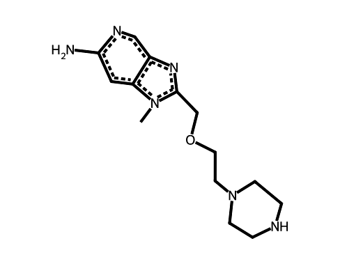 Cn1c(COCCN2CCNCC2)nc2cnc(N)cc21